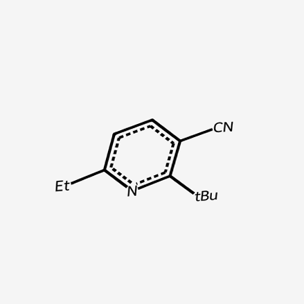 CCc1ccc(C#N)c(C(C)(C)C)n1